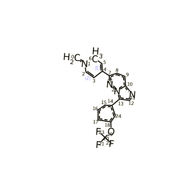 C=N/C=C\C(=C/C)c1ccc2ncc(-c3cccc(OC(F)(F)F)c3)n2n1